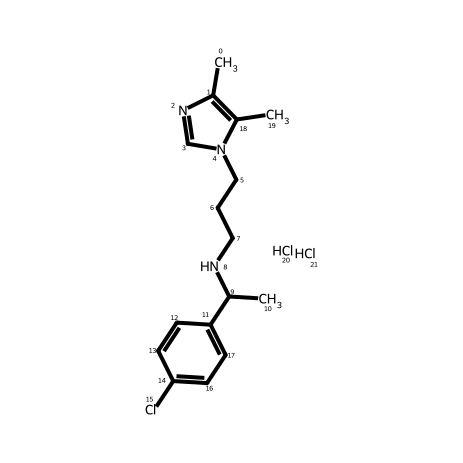 Cc1ncn(CCCNC(C)c2ccc(Cl)cc2)c1C.Cl.Cl